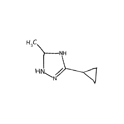 CC1NN=C(C2CC2)N1